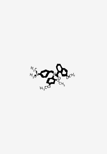 COc1ccc(N(Cc2ccc(N(C)C)cc2)C(=O)C2CCCc3ccc(OC)cc32)c(OC)c1